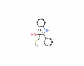 CCSCC(O)(C(Nc1ccccc1)c1ccccc1)C(F)(F)F